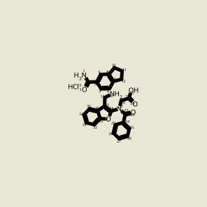 Cl.NC(=O)c1ccc2c(c1)CCC2.NCc1c(N(CC(=O)O)C(=O)c2ccccc2)oc2ccccc12